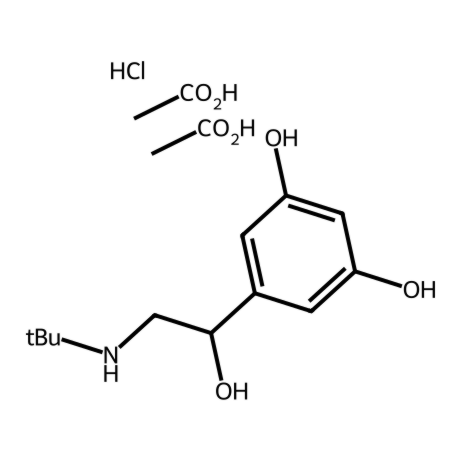 CC(=O)O.CC(=O)O.CC(C)(C)NCC(O)c1cc(O)cc(O)c1.Cl